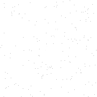 COC12CCC(/C(Cl)=N/O)(CC1)CC2